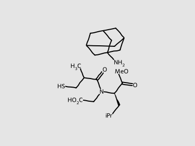 COC(=O)[C@@H](CC(C)C)N(CC(=O)O)C(=O)C(C)CS.NC12CC3CC(CC(C3)C1)C2